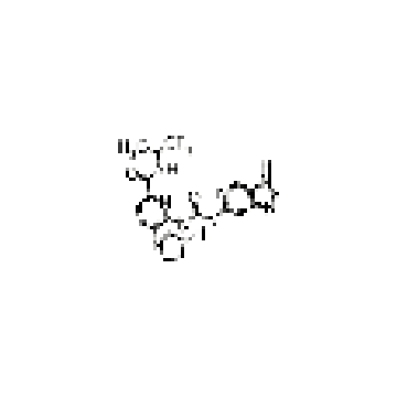 CC(NC(=O)c1ccc2c(n1)N(C(=O)Nc1cc3nc[nH]c3cn1)[C@H]1CCN2C1)C(F)(F)F